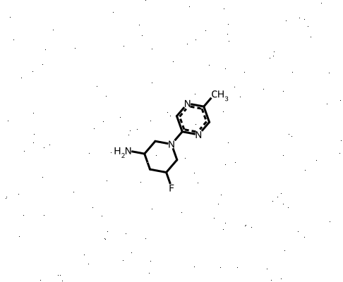 Cc1cnc(N2CC(N)CC(F)C2)cn1